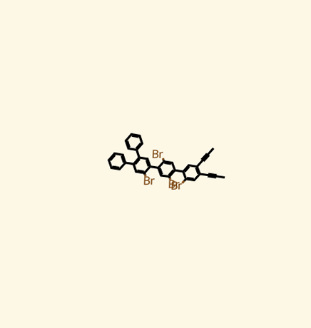 CC#Cc1cc(Br)c(-c2cc(Br)c(-c3cc(-c4ccccc4)c(-c4ccccc4)cc3Br)cc2Br)cc1C#CC